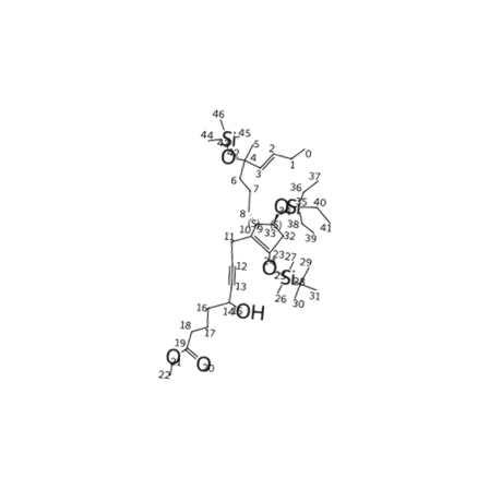 CCC=CC(C)(CCC[C@H]1C(CC#CC(O)CCCC(=O)OC)=C(O[Si](C)(C)C(C)(C)C)C[C@@H]1O[Si](CC)(CC)CC)O[Si](C)(C)C